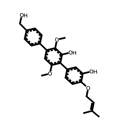 COc1cc(-c2ccc(CO)cc2)c(OC)c(O)c1-c1ccc(OCC=C(C)C)c(O)c1